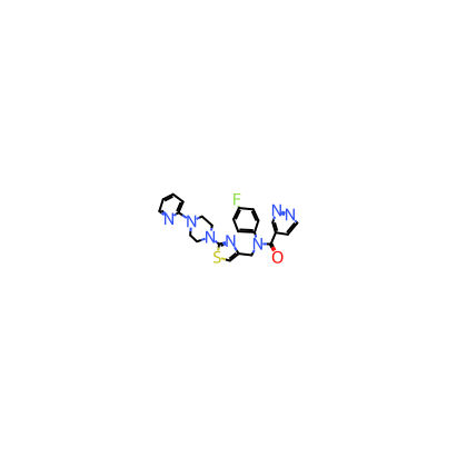 O=C(c1ccnnc1)N(Cc1csc(N2CCN(c3ccccn3)CC2)n1)c1ccc(F)cc1